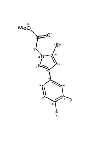 COC(=O)Cn1nc(-c2ccc(F)c(C)c2)cc1C(C)C